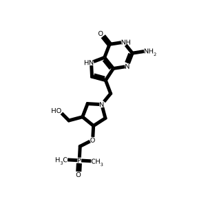 CP(C)(=O)COC1CN(Cc2c[nH]c3c(=O)[nH]c(N)nc23)CC1CO